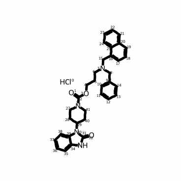 Cl.O=C(OCCCN(Cc1ccccc1)Cc1cccc2ccccc12)N1CCC(n2c(=O)[nH]c3ccccc32)CC1